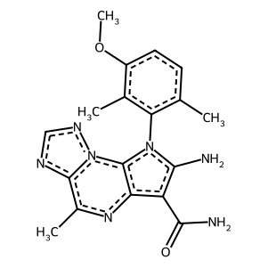 COc1ccc(C)c(-n2c(N)c(C(N)=O)c3nc(C)c4ncnn4c32)c1C